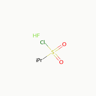 CC(C)S(=O)(=O)Cl.F